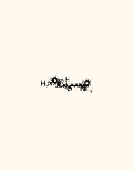 CN(CCONC(=O)CCCCCC(N)C1CCCCC1)C(=O)c1cccc(N)c1